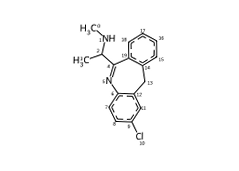 CNC(C)C1=Nc2ccc(Cl)cc2Cc2ccccc21